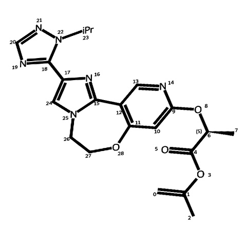 C=C(C)OC(=O)[C@H](C)Oc1cc2c(cn1)-c1nc(-c3ncnn3C(C)C)cn1CCO2